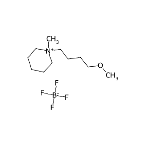 COCCCC[N+]1(C)CCCCC1.F[B-](F)(F)F